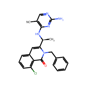 C[C@H](Nc1nc(N)ncc1C#N)c1cc2cccc(Cl)c2c(=O)n1Cc1ccccc1